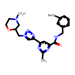 COc1cccc(CNC(=O)c2cc(-c3cn(CC4CN(C(=O)O)CCO4)nn3)nc(C)n2)c1